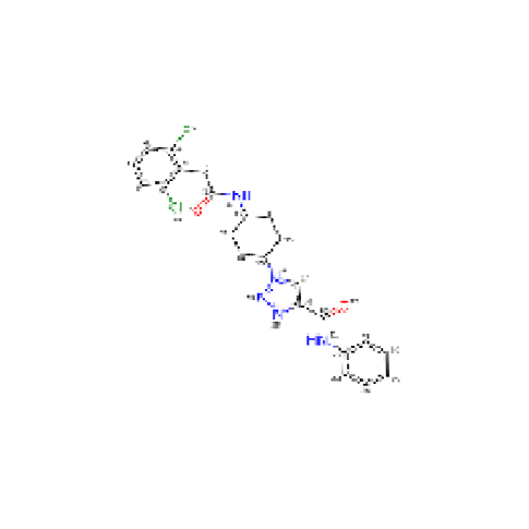 O=C(Cc1c(F)cccc1Cl)NC1CCC(n2cc(C(=O)Nc3ccccc3)nn2)CC1